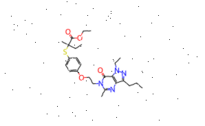 CCCc1nn(CC)c2c(=O)n(CCOc3ccc(SC(C)(CC)C(=O)OCC)cc3)c(C)nc12